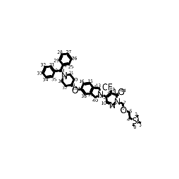 C[Si](C)(C)CCOCn1ncc(N2Cc3ccc(OC4CCN(C(c5ccccc5)c5ccccc5)CC4)cc3C2)c(C(F)(F)F)c1=O